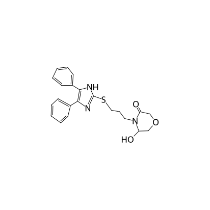 O=C1COCC(O)N1CCCSc1nc(-c2ccccc2)c(-c2ccccc2)[nH]1